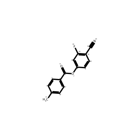 Cc1ccc(C(=O)Oc2ccc(C#N)c(F)c2)cc1